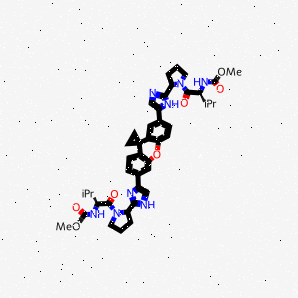 COC(=O)N[C@H](C(=O)N1CCCC1c1nc(-c2ccc3c(c2)Oc2ccc(-c4cnc(C5CCCN5C(=O)[C@@H](NC(=O)OC)C(C)C)[nH]4)cc2C32CC2)c[nH]1)C(C)C